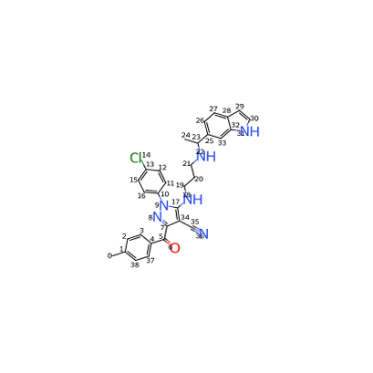 Cc1ccc(C(=O)c2nn(-c3ccc(Cl)cc3)c(NCCCNC(C)c3ccc4cc[nH]c4c3)c2C#N)cc1